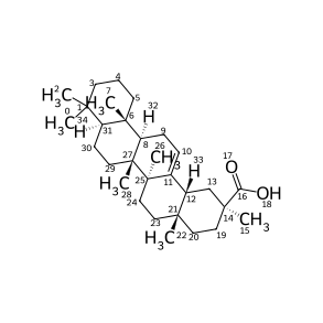 CC1(C)CCC[C@]2(C)[C@H]3CC=C4[C@@H]5C[C@@](C)(C(=O)O)CC[C@]5(C)CC[C@@]4(C)[C@]3(C)CC[C@@H]12